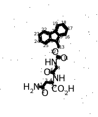 NC(=O)C[C@H](NC(=O)CNC(=O)OCC1c2ccccc2-c2ccccc21)C(=O)O